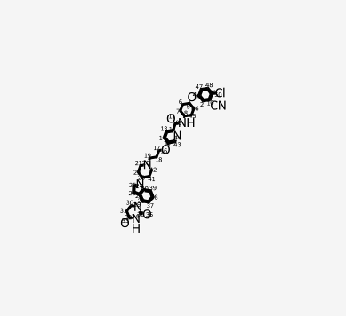 N#Cc1cc(O[C@H]2CC[C@H](NC(=O)c3ccc(OCCCN4CCC(n5ccc6c(N7CCC(=O)NC7=O)cccc65)CC4)cn3)CC2)ccc1Cl